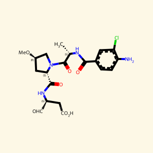 CO[C@@H]1C[C@@H](C(=O)N[C@H](C=O)CC(=O)O)N(C(=O)[C@H](C)NC(=O)c2ccc(N)c(Cl)c2)C1